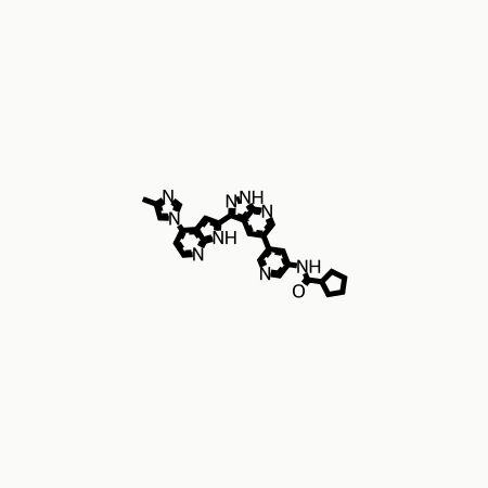 Cc1cn(-c2ccnc3[nH]c(-c4n[nH]c5ncc(-c6cncc(NC(=O)C7CCCC7)c6)cc45)cc23)cn1